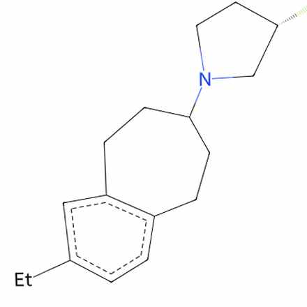 CCc1ccc2c(c1)CCC(N1CC[C@H](F)C1)CC2